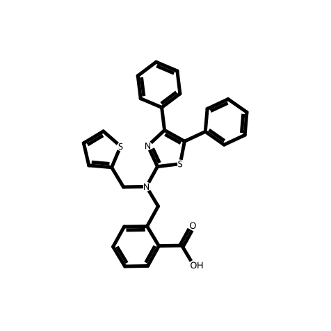 O=C(O)c1ccccc1CN(Cc1cccs1)c1nc(-c2ccccc2)c(-c2ccccc2)s1